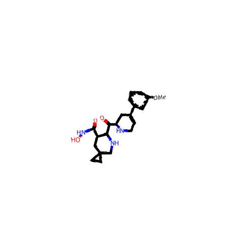 COc1cccc(C2=CCNC(C(=O)C3NCC4(CC4)CC3C(=O)NO)C2)c1